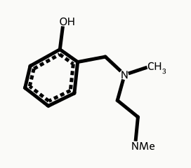 CNCCN(C)Cc1ccccc1O